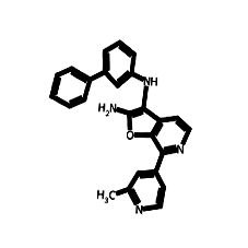 Cc1cc(-c2nccc3c(Nc4cccc(-c5ccccc5)c4)c(N)oc23)ccn1